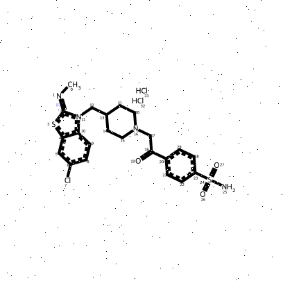 C/N=c1/sc2cc(Cl)ccc2n1CC1CCN(CC(=O)c2ccc(S(N)(=O)=O)cc2)CC1.Cl.Cl